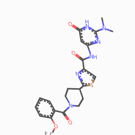 CN(C)c1nc(NC(=O)c2csc(C3CCN(C(=O)c4ccccc4OC(F)(F)F)CC3)n2)cc(=O)[nH]1